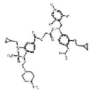 CN1CCN(CCN(c2ccc(C(=O)OCC(=O)O[C@@H](Cc3c(Cl)c[n+]([O-])cc3Cl)c3ccc(OC(F)F)c(OCC4CC4)c3)cc2OCC2CC2)S(C)(=O)=O)CC1